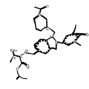 CC(=O)N1CCC[C@H](C[C@@H]2c3ccc(CN[C@@H](C(=O)OC(C)C)[C@@H](C)O)cc3CN2c2cc(C)c(=O)n(C)c2)C1